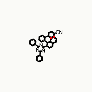 N#Cc1ccc(-c2ccccc2-c2c(-c3nc(-c4ccccc4)nc(-c4ccccc4)n3)ccc3ccccc23)cc1